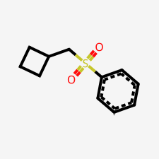 O=S(=O)(CC1CCC1)c1c[c]ccc1